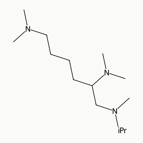 CC(C)N(C)CC(CCCCN(C)C)N(C)C